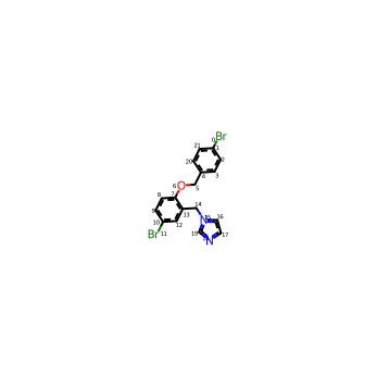 Brc1ccc(COc2ccc(Br)cc2Cn2ccnc2)cc1